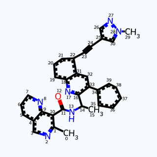 Cc1ncc2cccnc2c1C(=O)NC(C)c1nc2cccc(C#Cc3cnn(C)c3)c2cc1-c1ccccc1